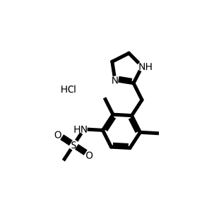 Cc1ccc(NS(C)(=O)=O)c(C)c1CC1=NCCN1.Cl